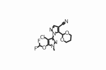 Cn1nc(-n2ncc(C#N)c2C2OCCCO2)c(Cl)c1OC(F)F